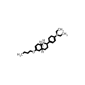 CCCCOC1=CC[C@@H]2NC(C3=CC=C(N(CC)CC)CC3)CC[C@@H]2C1